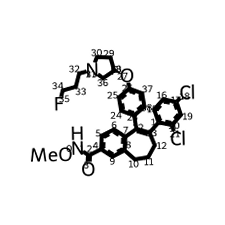 CONC(=O)c1ccc2c(c1)CCCC(c1ccc(Cl)cc1Cl)=C2c1ccc(O[C@H]2CCN(CCCF)C2)cc1